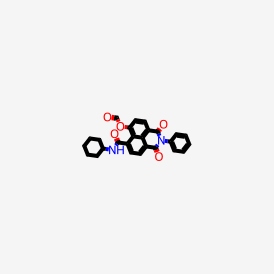 O=COc1ccc2c3c(ccc(C(=O)NC4CCCCC4)c13)C(=O)N(c1ccccc1)C2=O